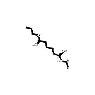 CCCOC(=O)C[CH]CCC(=O)OCC